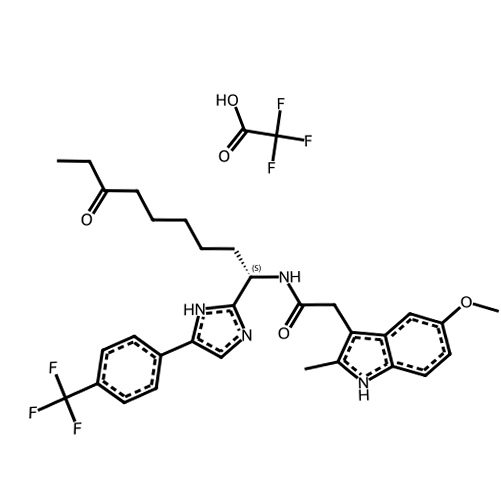 CCC(=O)CCCCC[C@H](NC(=O)Cc1c(C)[nH]c2ccc(OC)cc12)c1ncc(-c2ccc(C(F)(F)F)cc2)[nH]1.O=C(O)C(F)(F)F